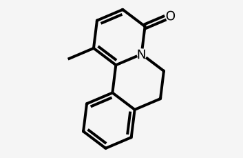 Cc1ccc(=O)n2c1-c1ccccc1CC2